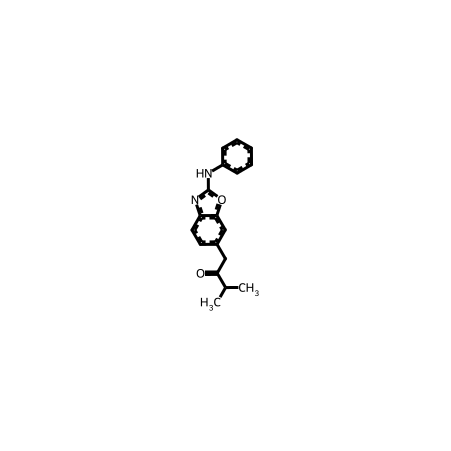 CC(C)C(=O)Cc1ccc2nc(Nc3ccccc3)oc2c1